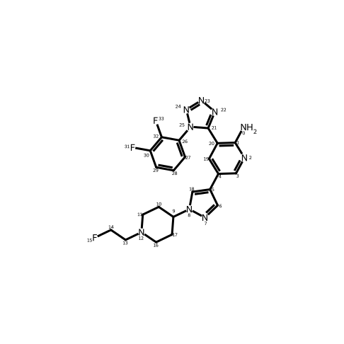 Nc1ncc(-c2cnn(C3CCN(CCF)CC3)c2)cc1-c1nnnn1-c1cccc(F)c1F